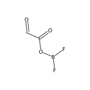 O=[C]C(=O)OB(F)F